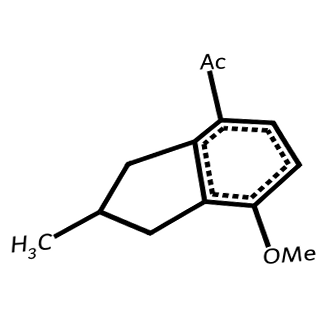 COc1ccc(C(C)=O)c2c1CC(C)C2